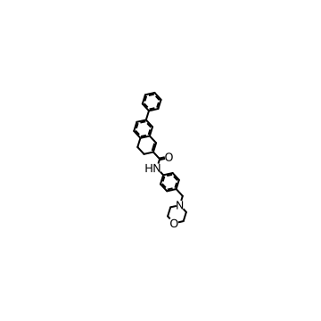 O=C(Nc1ccc(CN2CCOCC2)cc1)C1=Cc2cc(-c3ccccc3)ccc2CC1